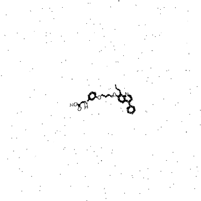 CCCc1c(OCCCCOc2cccc(NCC(=O)O)c2)ccc2c(-c3ccccc3)ccnc12